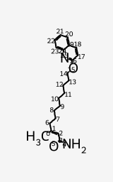 CC(=CC(N)=O)CCCCCCCCCOc1ccc2ccccc2n1